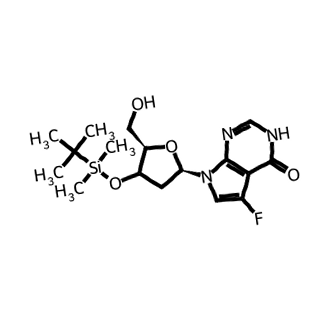 CC(C)(C)[Si](C)(C)OC1C[C@H](n2cc(F)c3c(=O)[nH]cnc32)O[C@@H]1CO